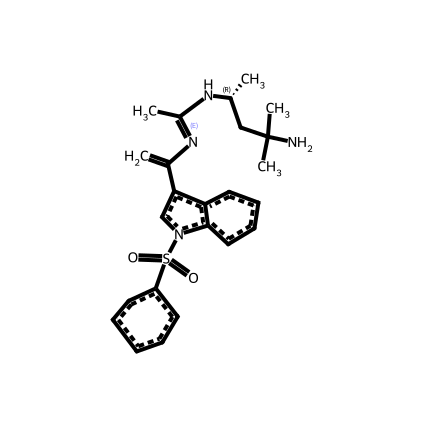 C=C(/N=C(\C)N[C@H](C)CC(C)(C)N)c1cn(S(=O)(=O)c2ccccc2)c2ccccc12